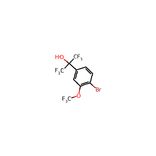 OC(c1ccc(Br)c(OC(F)(F)F)c1)(C(F)(F)F)C(F)(F)F